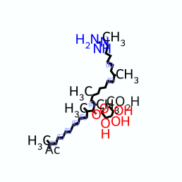 CC(=O)/C(C)=C/C=C/C=C/C=C/C=C/C(C)C(OC1OC(C(=O)O)C(O)C(O)C1O)/C(C)=C/C(C)CCC/C=C/C(C)C/C=C/CCCN(C)C(=N)N